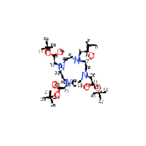 CC(C)C(=O)CN1CCN(CC(=O)OC(C)(C)C)CCN(CC(=O)OC(C)(C)C)CCN(CC(=O)OC(C)(C)C)CC1